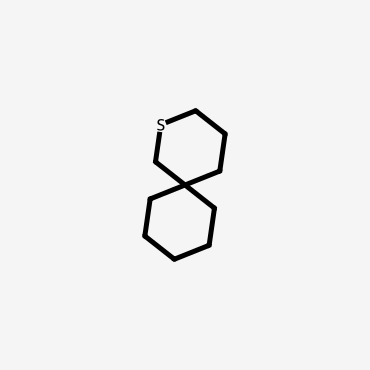 C1CCC2(CC1)CCCSC2